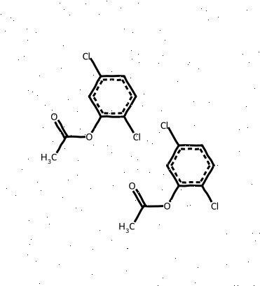 CC(=O)Oc1cc(Cl)ccc1Cl.CC(=O)Oc1cc(Cl)ccc1Cl